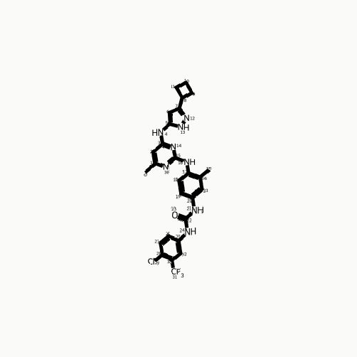 Cc1cc(Nc2cc(C3CCC3)n[nH]2)nc(Nc2ccc(NC(=O)Nc3ccc(Cl)c(C(F)(F)F)c3)cc2C)n1